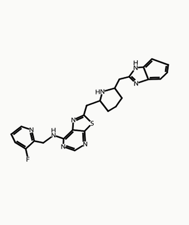 Fc1cccnc1CNc1ncnc2sc(CC3CCCC(Cc4nc5ccccc5[nH]4)N3)nc12